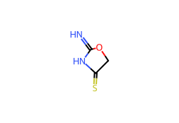 N=C1NC(=S)CO1